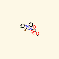 CCOC(=O)CC1Oc2ccccc2N(Cc2nc3cccc(F)c3s2)C1=O